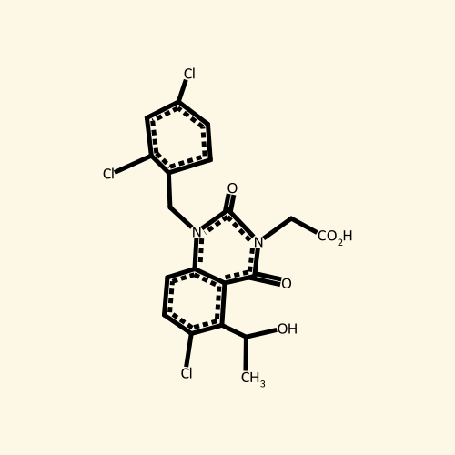 CC(O)c1c(Cl)ccc2c1c(=O)n(CC(=O)O)c(=O)n2Cc1ccc(Cl)cc1Cl